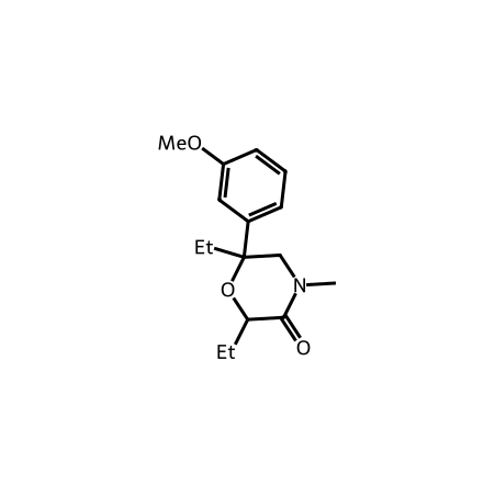 CCC1OC(CC)(c2cccc(OC)c2)CN(C)C1=O